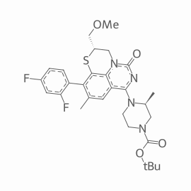 COC[C@@H]1Cn2c(=O)nc(N3CCN(C(=O)OC(C)(C)C)C[C@@H]3C)c3cc(C)c(-c4ccc(F)cc4F)c(c32)S1